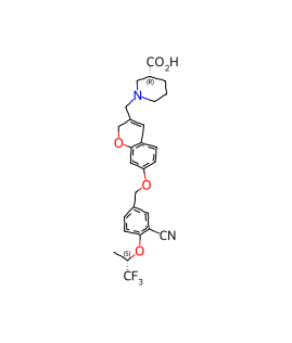 C[C@H](Oc1ccc(COc2ccc3c(c2)OCC(CN2CCC[C@@H](C(=O)O)C2)=C3)cc1C#N)C(F)(F)F